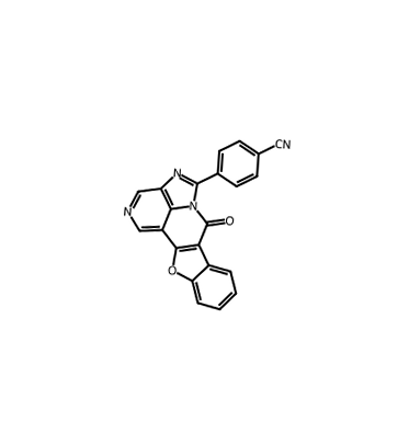 N#Cc1ccc(-c2nc3cncc4c5oc6ccccc6c5c(=O)n2c34)cc1